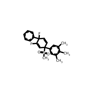 Cc1cc(C2(S(C)(=O)=O)C=CC(F)(c3ccccc3)C(F)=C2)cc(C)c1C